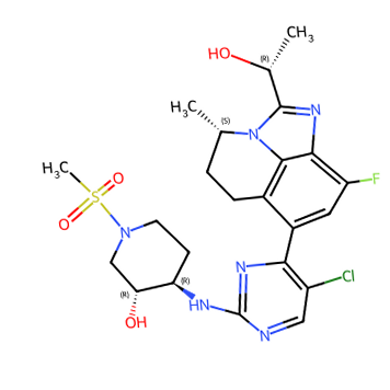 C[C@@H](O)c1nc2c(F)cc(-c3nc(N[C@@H]4CCN(S(C)(=O)=O)C[C@H]4O)ncc3Cl)c3c2n1[C@@H](C)CC3